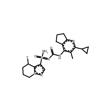 Cc1c(C2CC2)nc2c(c1NC(=O)N=S(N)(=O)c1cnn3c1C(F)CCC3)CCC2